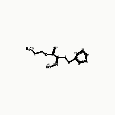 CCCOC(=O)C(CCc1ccccc1)=NO